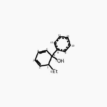 CCC1C=CC=CC1(O)c1ccccc1